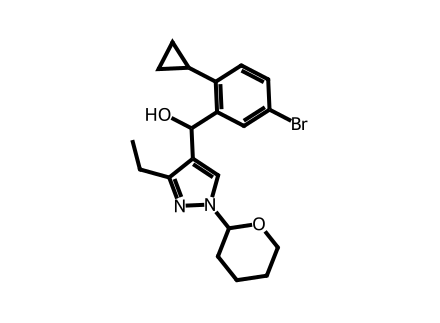 CCc1nn(C2CCCCO2)cc1C(O)c1cc(Br)ccc1C1CC1